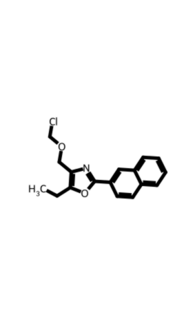 CCc1oc(-c2ccc3ccccc3c2)nc1COCCl